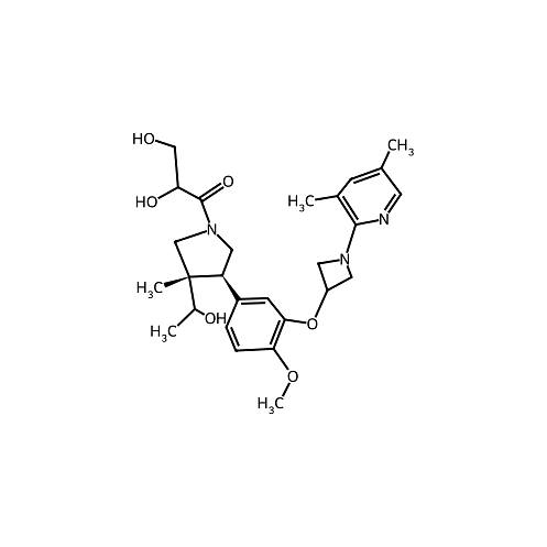 COc1ccc([C@@H]2CN(C(=O)C(O)CO)C[C@@]2(C)C(C)O)cc1OC1CN(c2ncc(C)cc2C)C1